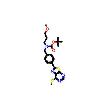 COCCCN(Cc1ccc(-c2nc3c(SC)ncnc3s2)cc1)C(=O)OC(C)(C)C